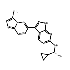 Cc1cnc2ccc(-c3c[nH]c4nc(N[C@H](C)C5CC5)ncc34)nn12